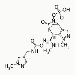 CN/C(=N\OC(=O)NCc1cnn(C)c1)[C@@H]1c2c(cnn2C)C2CN1C(=O)N2OS(=O)(=O)O